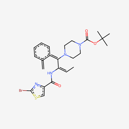 C=c1cccc/c1=C(/C(=C\C)NC(=O)c1csc(Br)n1)N1CCN(C(=O)OC(C)(C)C)CC1